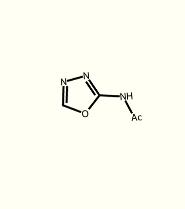 CC(=O)Nc1nnco1